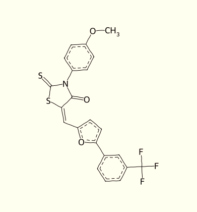 COc1ccc(N2C(=O)/C(=C\c3ccc(-c4cccc(C(F)(F)F)c4)o3)SC2=S)cc1